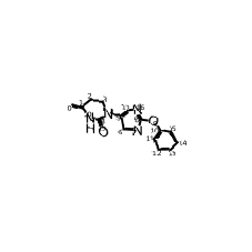 C=C1CCN(c2cnc(Oc3ccccc3)nc2)C(=O)N1